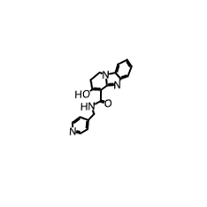 O=C(NCc1ccncc1)C1=C(O)CCn2c1nc1ccccc12